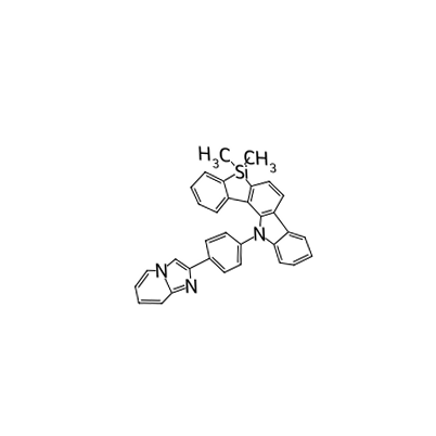 C[Si]1(C)c2ccccc2-c2c1ccc1c3ccccc3n(-c3ccc(-c4cn5ccccc5n4)cc3)c21